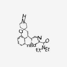 CCCCc1cccc2c1C(c1ccc(C(=O)N(CC)CC)nc1)=CC1(CCNCC1)O2